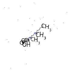 CCCCC/C(C)=C/CC/C(C)=C/COCP(=O)(O)O